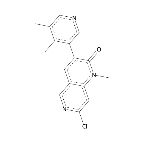 Cc1cncc(-c2cc3cnc(Cl)cc3n(C)c2=O)c1C